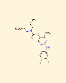 CNc1nc(Nc2ccc(Cl)c(Cl)c2)ncc1NC(=O)N(CCOC)CCOC